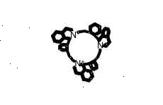 c1ccc2c(c1)CC[n+]1ccc3ccccc3c1-c1ccccc1CC[n+]1ccc3ccccc3c1-c1ccccc1CC[n+]1ccc3ccccc3c1-2